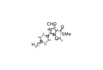 CSC(=O)c1c(C=O)nc(N2CCN(C)CC2)n1C